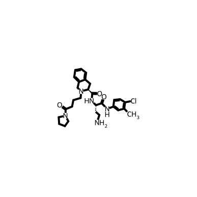 Cc1cc(NC(=O)[C@H](CCN)NC(=O)[C@@H]2Cc3ccccc3CN2CCCC(=O)N2CCCC2)ccc1Cl